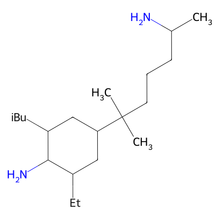 CCC(C)C1CC(C(C)(C)CCCC(C)N)CC(CC)C1N